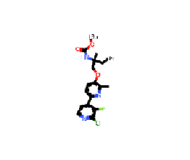 Cc1nc(-c2ccnc(Cl)c2F)ccc1OCC(C)(CC(C)C)NC(=O)OC(C)(C)C